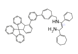 NC(/C=C(\NCC1=CC=C(c2cccc(C3=CC=CC4C3c3ccccc3C43c4ccccc4-c4ccccc43)c2)C=CC1)C1=CCCC=C1)C1=CCCCC=C1